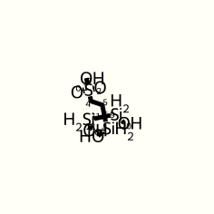 O=S(=O)(O)CCC([SiH2]O)([SiH2]O)[SiH2]O